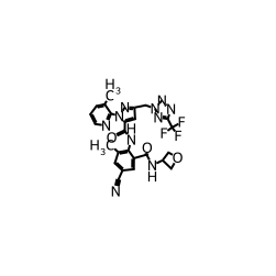 Cc1cccnc1-n1nc(Cn2nnc(C(F)(F)F)n2)cc1C(=O)Nc1c(C)cc(C#N)cc1C(=O)NC1COC1